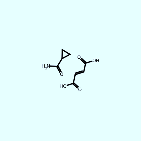 NC(=O)C1CC1.O=C(O)/C=C/C(=O)O